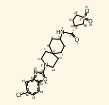 O=C(NC1CCC2(CC1)CCN(c1nc3cc(Cl)ccc3o1)CC2)[C@@H]1CCS(=O)(=O)C1